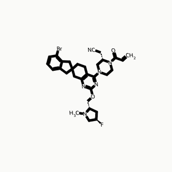 C=CC(=O)N1CCN(c2nc(OC[C@@H]3C[C@@H](F)CN3C)nc3c2CCC2(Cc4cccc(Br)c4C2)C3)C[C@@H]1CC#N